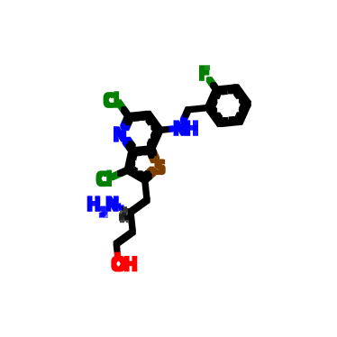 N[C@@H](CCO)Cc1sc2c(NCc3ccccc3F)cc(Cl)nc2c1Cl